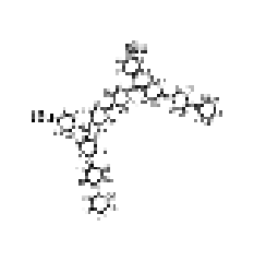 CC(C)(C)c1ccc(N(c2ccc(-c3ccc(-c4ccccc4)cc3)cc2)c2ccc(-c3ccc(N(c4ccc(-c5ccc(-c6ccccc6)cc5)cc4)c4ccc(C(C)(C)C)cc4)cc3)cc2)cc1